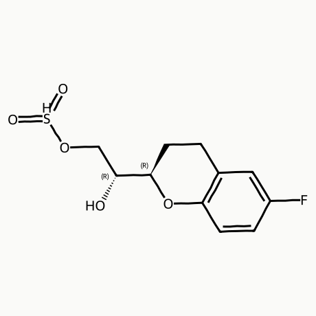 O=[SH](=O)OC[C@@H](O)[C@H]1CCc2cc(F)ccc2O1